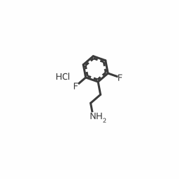 Cl.NCCc1c(F)cccc1F